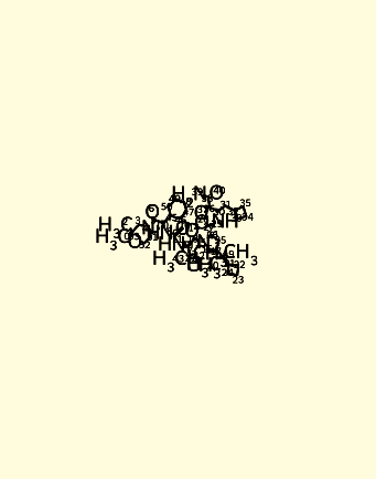 CC1(C)CN(C(=O)[C@@H](NC(=O)N[C@@H](C(=O)N2CC(C(C)(C)C3CCC3)C[C@H]2C(=O)NC(CC2CCC2)C(=O)C(N)=O)C(C)(C)C)C2CCCCC2)CCO1